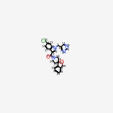 O=C(c1cn(Cc2cncnc2)c2cc(Cl)ccc12)N1CCC2(CC1)OCc1ccccc12